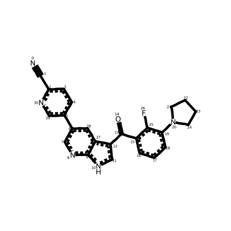 N#Cc1ccc(-c2cnc3[nH]cc(C(=O)c4cccc(N5CCCC5)c4F)c3c2)cn1